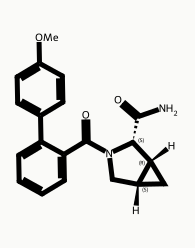 COc1ccc(-c2ccccc2C(=O)N2C[C@H]3C[C@H]3[C@H]2C(N)=O)cc1